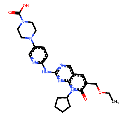 CCOCc1cc2cnc(Nc3ccc(N4CCN(C(=O)O)CC4)cn3)nc2n(C2CCCC2)c1=O